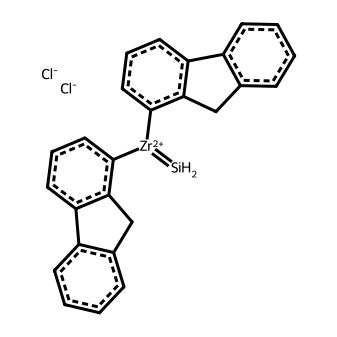 [Cl-].[Cl-].[SiH2]=[Zr+2]([c]1cccc2c1Cc1ccccc1-2)[c]1cccc2c1Cc1ccccc1-2